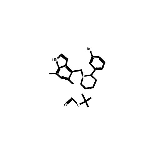 CC(C)(C)OC=O.Cc1cc(C)c2[nH]ccc2c1CN1CCCCC1c1cccc(Br)c1